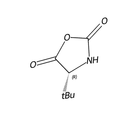 CC(C)(C)[C@H]1NC(=O)OC1=O